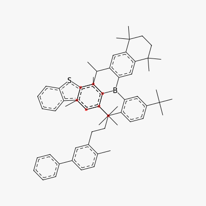 Cc1cc(C)c2c(c1)C(CCc1cc(-c3ccccc3)ccc1C)c1ccc(C(C)(C)C)cc1B2c1cc2c(cc1C(C)c1cc(C(C)(C)C)cc3c1sc1ccccc13)C(C)(C)CCC2(C)C